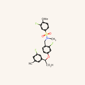 COc1ccc(S(=O)(=O)N(C)Cc2ccc(OC(C(=O)O)c3cc(F)cc(C#N)c3)cc2F)cc1F